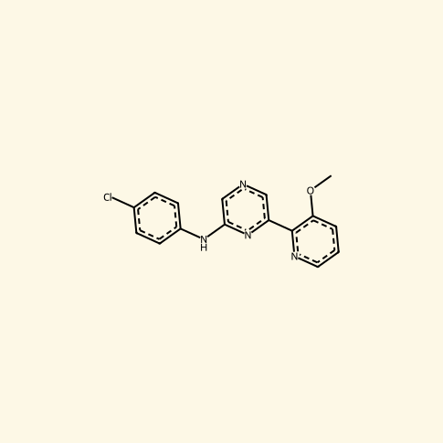 COc1cccnc1-c1cncc(Nc2ccc(Cl)cc2)n1